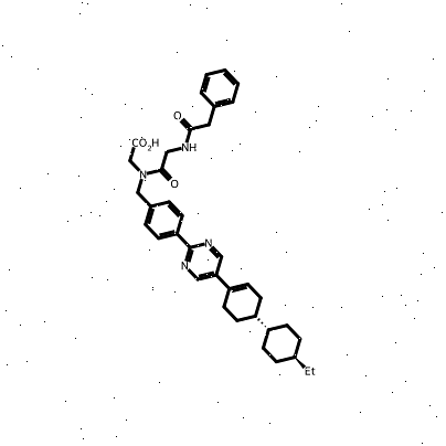 CC[C@H]1CC[C@H](C2CC=C(c3cnc(-c4ccc(CN(CC(=O)O)C(=O)CNC(=O)Cc5ccccc5)cc4)nc3)CC2)CC1